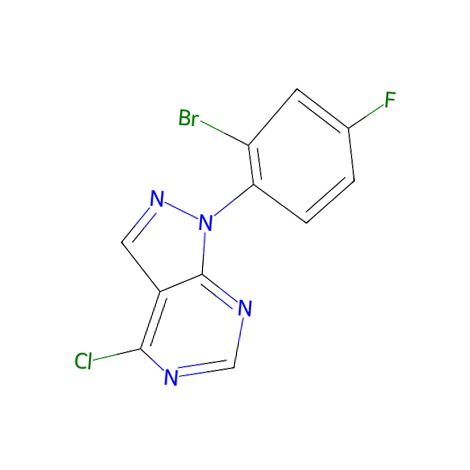 Fc1ccc(-n2ncc3c(Cl)ncnc32)c(Br)c1